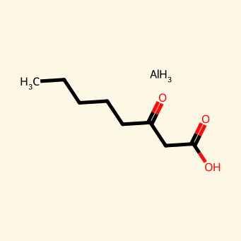 CCCCCC(=O)CC(=O)O.[AlH3]